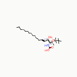 CCCCCCCCCCCCC/C=C/[C@H](O)[C@@H](NC(=O)O)[C@H](C)O[Si](C)(C)C(C)(C)C